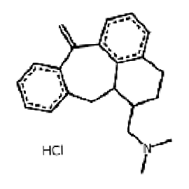 C=C1c2ccccc2CC2c3c(cccc31)CCC2CN(C)C.Cl